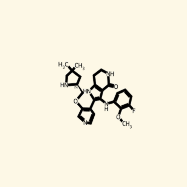 COc1c(F)cccc1Nc1c(-c2ccncc2OC[C@@H]2CC(C)(C)CN2)[nH]c2c1C(=O)NCC2